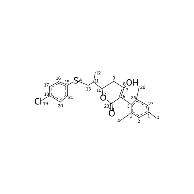 Cc1cc(C)c(C2=C(O)CC(C(C)CSc3ccc(Cl)cc3)OC2=O)c(C)c1